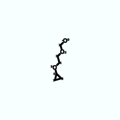 [O]COCCOC1CC1